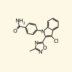 Cc1noc(-c2c(Cl)c3ccccc3n2-c2ccc(C(N)=O)cc2)n1